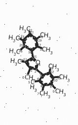 Cc1c(-c2c(C)c(C)c(C)c(C)c2C)oc(-c2c(C)c(C)c(C)c(C)c2C)c1C